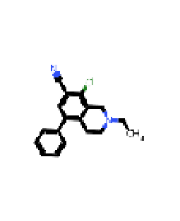 CCN1CCc2c(-c3ccccc3)cc(C#N)c(Cl)c2C1